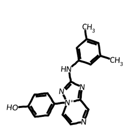 Cc1cc(C)cc(NC2=N[N+]3(c4ccc(O)cc4)C=CN=CC3=N2)c1